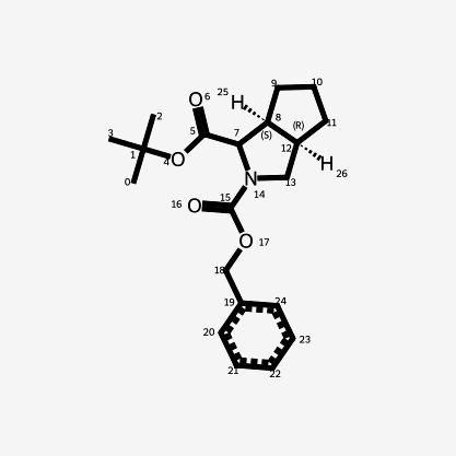 CC(C)(C)OC(=O)C1[C@H]2CCC[C@H]2CN1C(=O)OCc1ccccc1